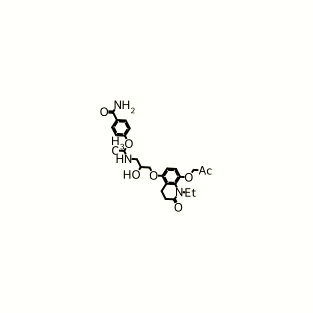 CCN1C(=O)CCc2c(OCC(O)CNC(C)Oc3ccc(C(N)=O)cc3)ccc(OCC(C)=O)c21